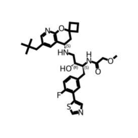 COCC(=O)N[C@@H](Cc1ccc(F)c(-c2cncs2)c1)[C@H](O)CN[C@H]1CC2(CCC2)Oc2ncc(CC(C)(C)C)cc21